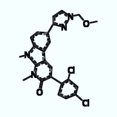 COCn1ccc(-c2ccc3c(c2)c2cc(-c4ccc(Cl)cc4Cl)c(=O)n(C)c2n3C)n1